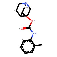 Cc1ccccc1NC(=O)OC1CN2CCC1CC2